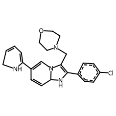 Clc1ccc(C2=C(CN3CCOCC3)N3C=C(C4=CC=CCN4)C=CC3N2)cc1